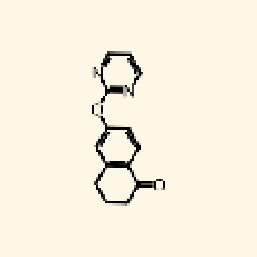 O=C1CCCc2cc(Oc3ncccn3)ccc21